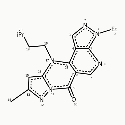 CCn1ncc2c1ncc1c(=O)n3nc(C)cc3n(CCC(C)C)c12